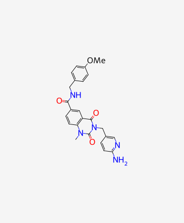 COc1ccc(CNC(=O)c2ccc3c(c2)c(=O)n(Cc2ccc(N)nc2)c(=O)n3C)cc1